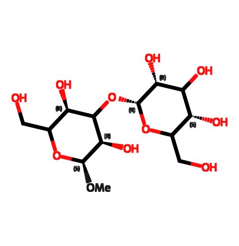 CO[C@H]1OC(CO)[C@@H](O)C(O[C@H]2OC(CO)[C@@H](O)C(O)[C@H]2O)[C@H]1O